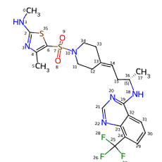 CNc1nc(C)c(S(=O)(=O)N2CCC(=CC[C@H](C)Nc3ncnc4c(C(F)(F)F)cccc34)CC2)s1